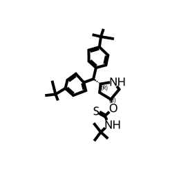 CC(C)(C)NC(=S)O[C@H]1CN[C@@H](C(c2ccc(C(C)(C)C)cc2)c2ccc(C(C)(C)C)cc2)C1